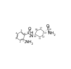 Nc1ccccc1C(=O)N[C@H]1CC[C@@H](C(N)=O)CC1